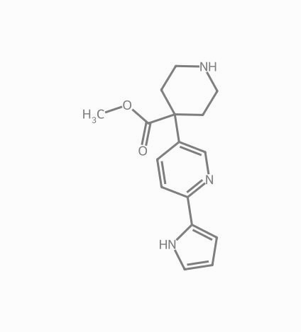 COC(=O)C1(c2ccc(-c3ccc[nH]3)nc2)CCNCC1